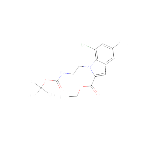 CCOC(=O)c1cc2cc(C)cc(Br)c2n1CCNC(=O)OC(C)(C)C